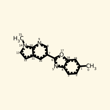 Cc1ccc2nc(-c3cnc4c(ccn4C)c3)oc2c1